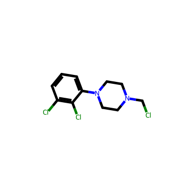 ClCN1CCN(c2cccc(Cl)c2Cl)CC1